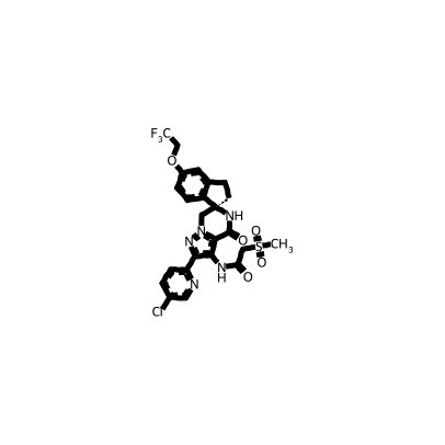 CS(=O)(=O)CC(=O)Nc1c(-c2ccc(Cl)cn2)nn2c1C(=O)N[C@@]1(CCc3cc(OCC(F)(F)F)ccc31)C2